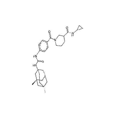 C[C@]12CC3CC(NC(=O)Nc4ccc(C(=O)N5CCCC(C(=O)NC6CC6)C5)cc4)(C1)C[C@@](C)(C3)C2